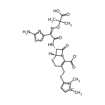 Cn1c(SCC2=C(C(=O)[O-])N3C(=O)[C@@H](NC(=O)/C(=N\OC(C)(C)C(=O)O)c4csc(N)n4)[C@H]3SC2)cc[n+]1C